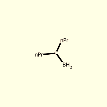 BI(CCC)CCC